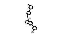 COc1cc(-c2ccc3c(NCc4ccc(-c5ccnc(C)c5)nc4)ncnc3c2)ccn1